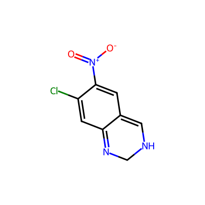 O=[N+]([O-])c1cc2c(cc1Cl)=NCNC=2